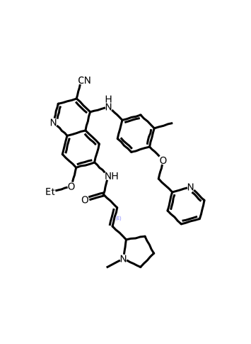 CCOc1cc2ncc(C#N)c(Nc3ccc(OCc4ccccn4)c(C)c3)c2cc1NC(=O)/C=C/C1CCCN1C